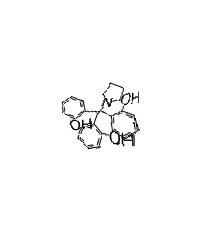 Oc1ccccc1C(c1ccccc1O)(c1ccccc1O)N1CCCC1